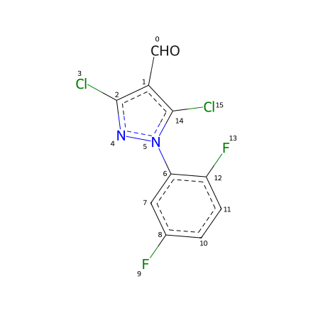 O=Cc1c(Cl)nn(-c2cc(F)ccc2F)c1Cl